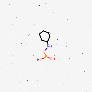 OP(O)ONC1CCCCC1